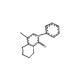 Cc1cn(-c2ccccc2)c(=O)c2c1CCCC2